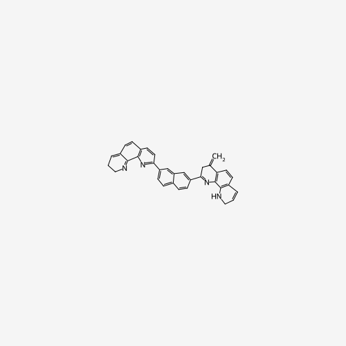 C=C1CC(c2ccc3ccc(-c4ccc5ccc6c(c5n4)=NCCC=6)cc3c2)=Nc2c1ccc1c2NCC=C1